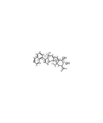 CN(C)[C@H]1C[C@@]23CC[C@@]4(O2)C(=CC(C)(C)[C@]2(C)C(c5cccc6cnccc56)=CCC42)C=C3[C@@H](O)[C@@H]1O